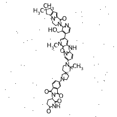 C[C@H]1C[C@@]2(CCN(c3ccc4c(c3)C(=O)N(C3CCC(=O)NC3=O)C4=O)C2)CCN1c1ccc(Nc2cc(-c3ccnc(N4CCn5c(cc6c5CC(C)(C)C6)C4=O)c3CO)cn(C)c2=O)nc1